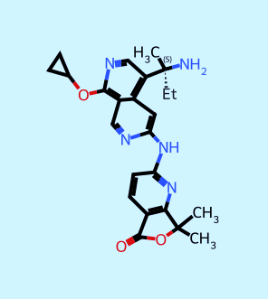 CC[C@](C)(N)c1cnc(OC2CC2)c2cnc(Nc3ccc4c(n3)C(C)(C)OC4=O)cc12